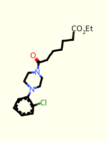 CCOC(=O)CCCCCC(=O)N1CCN(c2ccccc2Cl)CC1